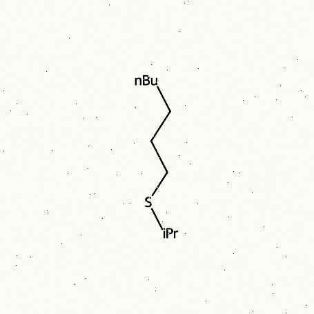 CCCCCCCSC(C)C